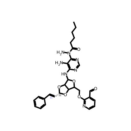 CCCCCC(=O)N(N)c1ncnc(NC2OC(COc3ncccc3C=O)C3O[C@H](/C=C/c4ccccc4)OC23)c1N